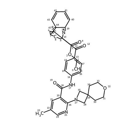 CCOC(=O)C1=CC2CCC(C(=O)c3ccc(NC(=O)c4cc(C)cnc4N4CC5(CCOCC5)C4)cc3)N=C3C=CC=CC32S1